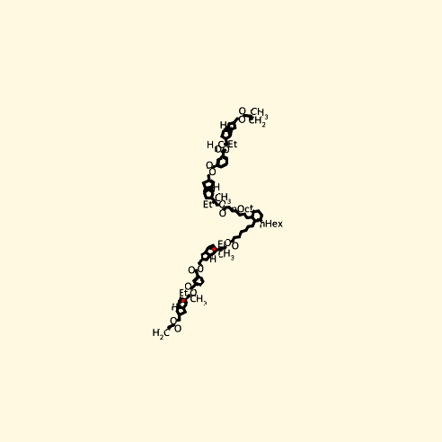 C=CC(=O)OCC1CC2C3CC(CC3C(C)(CC)OC(=O)c3cccc(C(=O)OCC4CC5C6CC(C(C(C)(CC)COC(=O)CCCCCCC7C(CCCCCC)CCC(CCCCCCCC)C7CCCCCCC(=O)OCC(C)(CC)C7CC8CC7[C@H]7CC(COC(=O)c9cccc(C(=O)OC(C)(CC)C%10CC%11CC%10C%10CC(COC(=O)C(=C)C)C[C@H]%11%10)c9)CC87)C6)[C@H]5C4)c3)[C@H]2C1